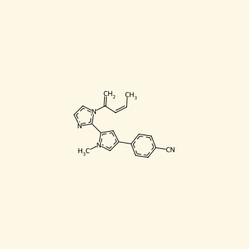 C=C(/C=C\C)n1ccnc1-c1cc(-c2ccc(C#N)cc2)cn1C